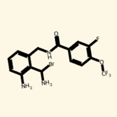 Nc1cccc(CNC(=O)c2ccc(OC(F)(F)F)c(F)c2)c1C(N)Br